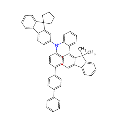 CC1(C)c2ccccc2-c2cccc(-c3ccccc3N(c3ccc(-c4ccc(-c5ccccc5)cc4)cc3)c3ccc4c(c3)C3(CCCC3)c3ccccc3-4)c21